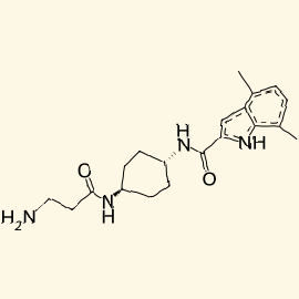 Cc1ccc(C)c2[nH]c(C(=O)N[C@H]3CC[C@H](NC(=O)CCN)CC3)cc12